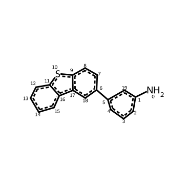 Nc1cccc(-c2ccc3sc4ccccc4c3c2)c1